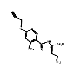 C#CCNc1ccc(C(=O)N[C@@H](CCC(=O)O)C(=O)O)c(OC)c1